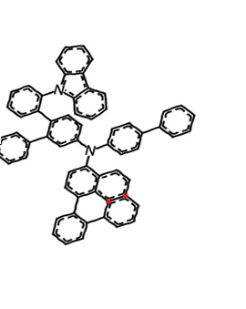 c1ccc(-c2ccc(N(c3ccc(-c4ccccc4-n4c5ccccc5c5ccccc54)c(-c4ccccc4)c3)c3ccc(-c4ccccc4-c4ccccc4)c4ccccc34)cc2)cc1